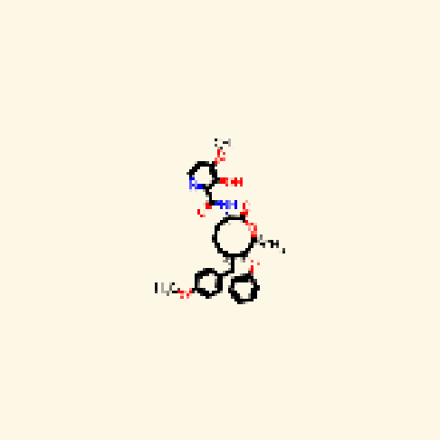 COc1ccc(C[C@H]2CCC[C@H](NC(=O)c3nccc(OC)c3O)C(=O)O[C@@H](C)[C@@H]2Oc2ccccc2)cc1